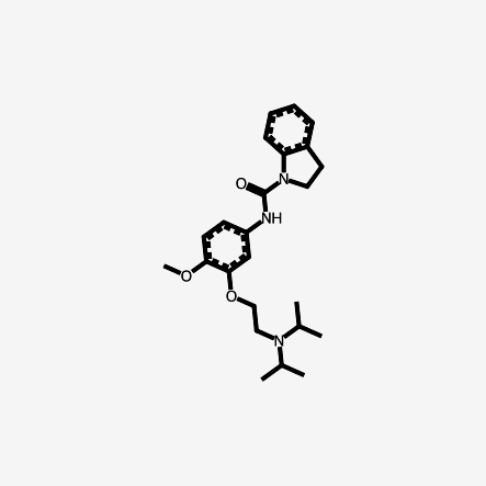 COc1ccc(NC(=O)N2CCc3ccccc32)cc1OCCN(C(C)C)C(C)C